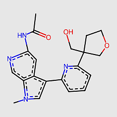 CC(=O)Nc1cc2c(-c3cccc(C4(CO)CCOC4)n3)cn(C)c2cn1